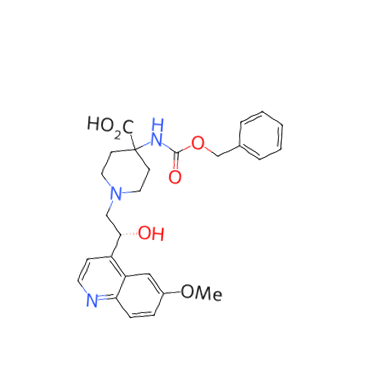 COc1ccc2nccc([C@@H](O)CN3CCC(NC(=O)OCc4ccccc4)(C(=O)O)CC3)c2c1